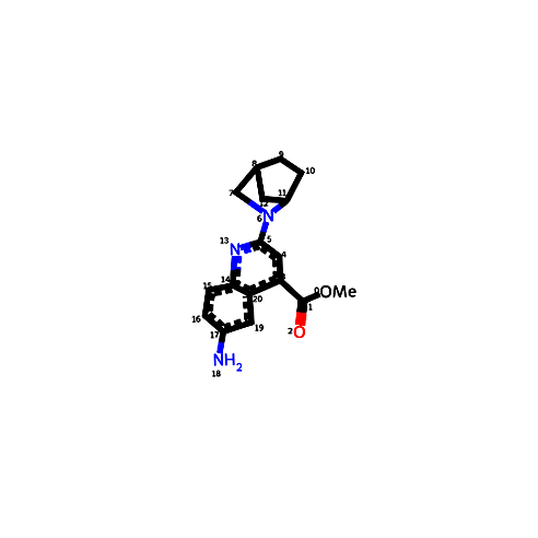 COC(=O)c1cc(N2CC3CCC2C3)nc2ccc(N)cc12